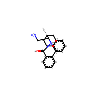 NCC1[C@H]2CC[C@@H](CC2)N1C(=O)c1ccccc1-c1ccccc1